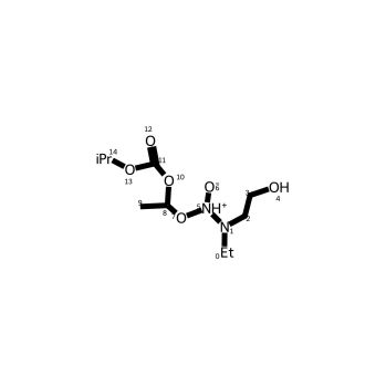 CCN(CCO)[NH+]([O-])OC(C)OC(=O)OC(C)C